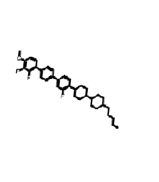 CCCCCC1CCC(C2CCC(c3ccc(-c4ccc(-c5ccc(OC)c(F)c5F)cc4)cc3F)CC2)CC1